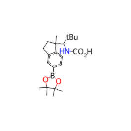 CC(C)(C)C(NC(=O)O)C1(C)CCc2cc(B3OC(C)(C)C(C)(C)O3)ccc21